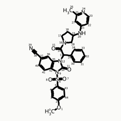 COc1ccc(S(=O)(=O)n2c(=O)n(C(C(=O)N3CCC(Nc4ccnc(C)c4)C3)c3ccccc3)c3cc(C#N)ccc32)cc1